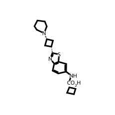 C1CCC1.O=C(O)Nc1ccc2nc([C@H]3C[C@@H](N4CCCCC4)C3)sc2c1